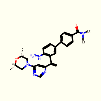 C=C(c1cc(N2C[C@@H](C)O[C@@H](C)C2)ncn1)c1cc(-c2ccc(C(=O)N(CC)CC)cc2)ccc1NN